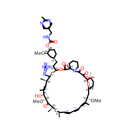 CO[C@H]1C[C@@H]2CC[C@@H](C)[C@@](O)(O2)C(=O)C(=O)N2CCCC[C@H]2C(=O)O[C@H]([C@H](N)C[C@@H]2CC[C@@H](OC(=O)NCc3cnc(C)nc3)[C@H](OC)C2)CC(N=[N+]=[N-])[C@H](C)/C=C(\C)[C@@H](O)[C@@H](OC)C(=O)[C@H](C)C[C@H](C)/C=C/C=C/C=C/1C